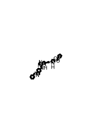 O=C(O[C@@H]1CN[C@H](C#Cc2cc3ncnc(Nc4ccc5c(cnn5Cc5ccccc5)c4)c3s2)C1)N1CCCC1